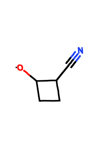 N#CC1CCC1[O]